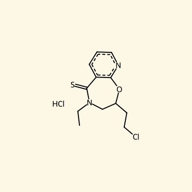 CCN1CC(CCCl)Oc2ncccc2C1=S.Cl